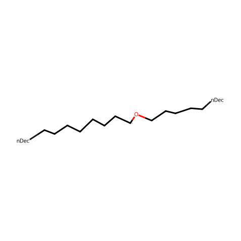 CCCCCCCCCCCCCCCCC[CH]OCCCCCCCCCCCCCCC